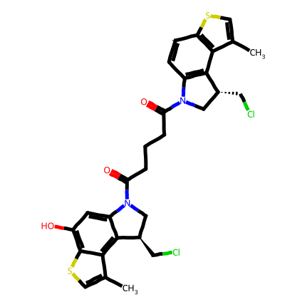 Cc1csc2[c]cc3c(c12)[C@H](CCl)CN3C(=O)CCCC(=O)N1C[C@@H](CCl)c2c1cc(O)c1scc(C)c21